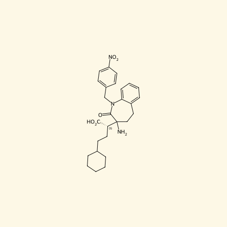 NC1([C@H](CCC2CCCCC2)C(=O)O)CCc2ccccc2N(Cc2ccc([N+](=O)[O-])cc2)C1=O